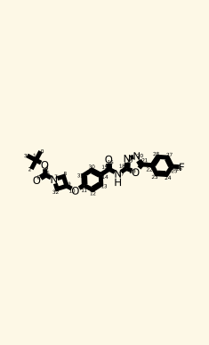 CC(C)(C)OC(=O)N1CC(Oc2ccc(C(=O)Nc3nnc(-c4ccc(F)cc4)o3)cc2)C1